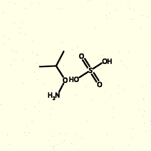 CC(C)ON.O=S(=O)(O)O